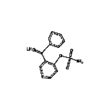 NS(=O)(=O)Oc1ccccc1C(=O)c1ccccc1.[LiH]